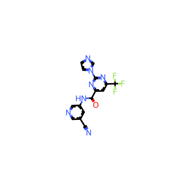 N#Cc1cncc(NC(=O)c2cc(C(F)(F)F)nc(-n3ccnc3)n2)c1